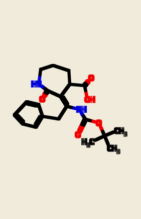 CC(C)(C)OC(=O)NC(Cc1ccccc1)=C1C(=O)NCCCC1C(=O)O